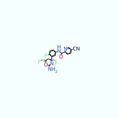 N#Cc1ccc(C(=O)Nc2ccc(F)c([C@]3(CF)C[C@@H](CF)OC(N)=N3)c2)nc1